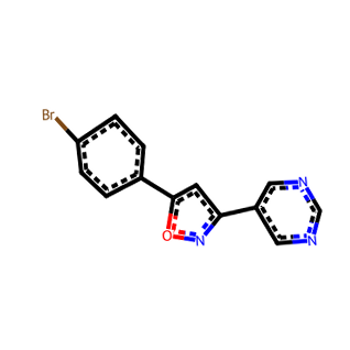 Brc1ccc(-c2cc(-c3cncnc3)no2)cc1